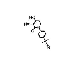 CC(C)(C#N)c1ccc(N2CCC(O)=C(C#N)C2=O)cc1